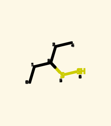 CCC(CC)SS